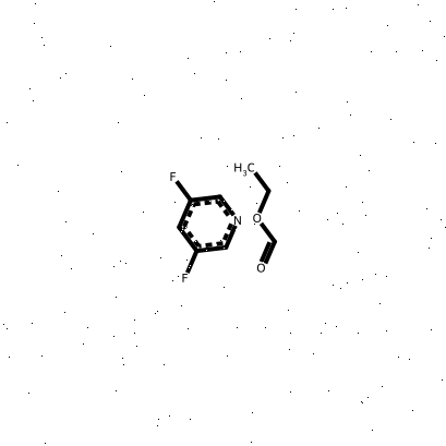 CCOC=O.Fc1cncc(F)c1